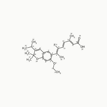 CCOc1cc2c(cc1C(C)=C(F)C=CC(C)=CC(=O)O)C=C(C(C)C)C(C)(C)O2